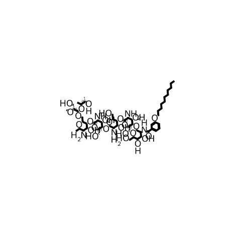 CCCCCCCCCCCOc1cccc(C(=O)NC2C(OC3C(O)C(N)[C@H](OC4C(CO)OC(OC5C(O)C(N)[C@H](OC6C(COC(OC(C)[C@H](C)O)[C@@H](CO)OC)OC(C)C(N)C6O)O[C@H]5CO)C(N)C4O)O[C@H]3CO)OC(CO)C(O)C2O)c1